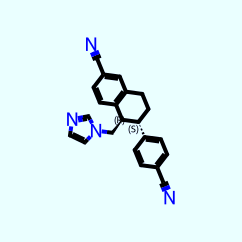 N#Cc1ccc([C@H]2CCc3cc(C#N)ccc3[C@@H]2Cn2ccnc2)cc1